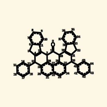 O=C1C2C3=C(Cc4ccccc43)C(c3ccccc3)c3ccc4ccc5c(c4c32)C1C1=C(Cc2ccccc21)C5c1ccccc1